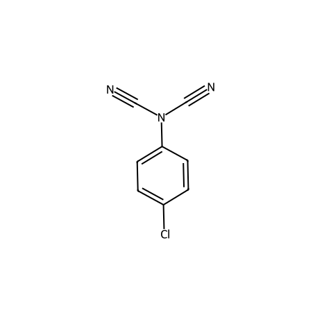 N#CN(C#N)c1ccc(Cl)cc1